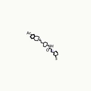 CC(=O)c1ccc2c(c1)CCN(CCC1CCC(NC(=O)/C=C/C3=CC(=S)CC=C3)CC1)CC2